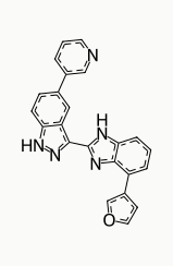 c1cncc(-c2ccc3[nH]nc(-c4nc5c(-c6ccoc6)cccc5[nH]4)c3c2)c1